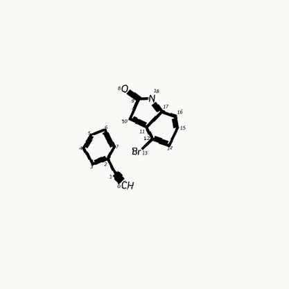 C#Cc1ccccc1.O=C1C=c2c(Br)cccc2=N1